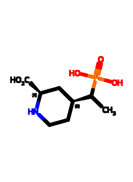 CC([C@H]1CCN[C@@H](C(=O)O)C1)P(=O)(O)O